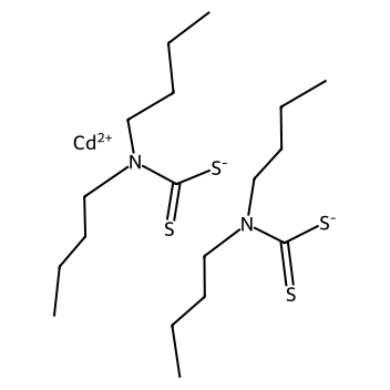 CCCCN(CCCC)C(=S)[S-].CCCCN(CCCC)C(=S)[S-].[Cd+2]